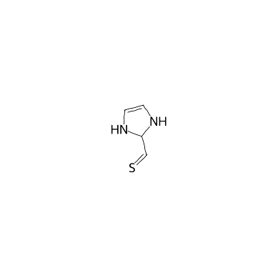 S=CC1NC=CN1